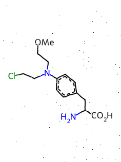 COCCN(CCCl)c1ccc(C[C@H](N)C(=O)O)cc1